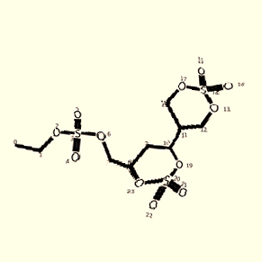 CCOS(=O)(=O)OCC1CC(C2COS(=O)(=O)OC2)OS(=O)(=O)O1